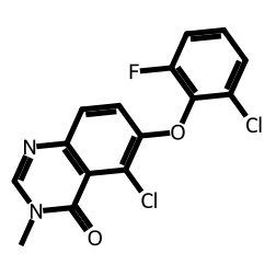 Cn1cnc2ccc(Oc3c(F)cccc3Cl)c(Cl)c2c1=O